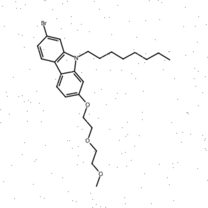 CCCCCCCCn1c2cc(Br)ccc2c2ccc(OCCOCCOC)cc21